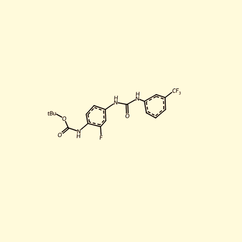 CC(C)(C)OC(=O)Nc1ccc(NC(=O)Nc2cccc(C(F)(F)F)c2)cc1F